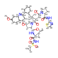 C=CC1C[C@]1(NC(=O)[C@@H]1C[C@@H](Oc2cc(-c3ccccc3)nc3cc(OC)ccc23)CN1C(=O)C(CC(=O)N1CCCC1C(=O)Nc1nccs1)C(C)(C)C)C(=O)NS(=O)(=O)C1CC1